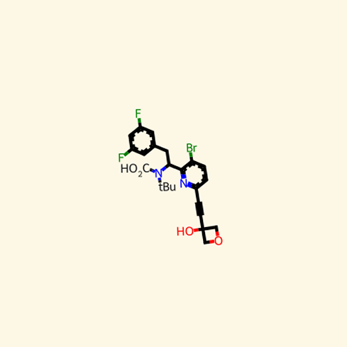 CC(C)(C)N(C(=O)O)C(Cc1cc(F)cc(F)c1)c1nc(C#CC2(O)COC2)ccc1Br